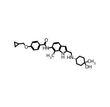 Cc1c(NC(=O)c2ccc(OCC3CC3)cc2)ccc2cc(CN[C@H]3CC[C@@](C)(O)CC3)[nH]c12